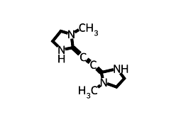 CN1CCNC1=C=C=C1NCCN1C